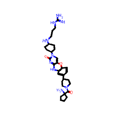 N=C(N)NCCCNC1CCC(n2cc3c(nc2=O)Nc2cc(C4CCN(C(=O)C5(N)CCCC5)CC4)ccc2O3)CC1